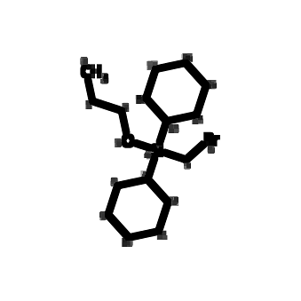 CCCO[Si](CBr)(C1CCCCC1)C1CCCCC1